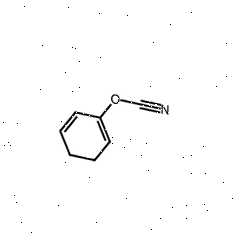 N#COC1=CCCC=C1